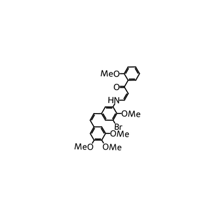 COc1ccccc1C(=O)/C=C\Nc1cc(/C=C\c2cc(OC)c(OC)c(OC)c2)cc(Br)c1OC